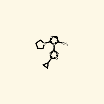 Cc1cnc(N2CCCC2)n1-c1noc(C2CC2)n1